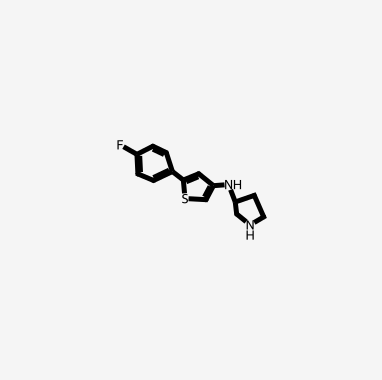 Fc1ccc(-c2cc(NC3CCNC3)cs2)cc1